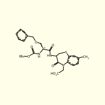 Cc1ccc2c(c1)SCC(NC(=O)[C@H](COCc1ccccc1)NC(=O)OC(C)(C)C)C(=O)N2CC(=O)O